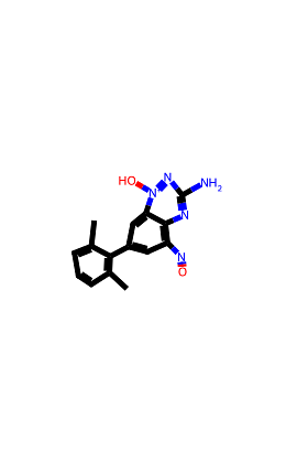 Cc1cccc(C)c1-c1cc(N=O)c2nc(N)n[n+](O)c2c1